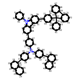 c1ccc(-n2c3ccc(-c4ccc(N(c5ccc(-c6cccc7ccccc67)cc5)c5ccc(-c6cccc7ccccc67)cc5)cc4)cc3c3cc(-c4ccc(C5(c6ccccc6)c6ccccc6-c6ccccc65)cc4)ccc32)cc1